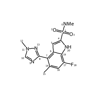 CNS(=O)(=O)c1cc2c(-c3ncn(C)n3)c(C)cc(F)c2[nH]1